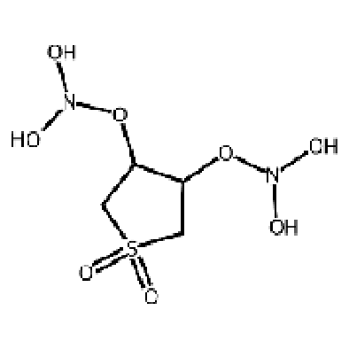 O=S1(=O)CC(ON(O)O)C(ON(O)O)C1